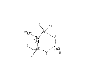 CC1(C)CCCC(C)(C)[NH+]1[O-].Cl